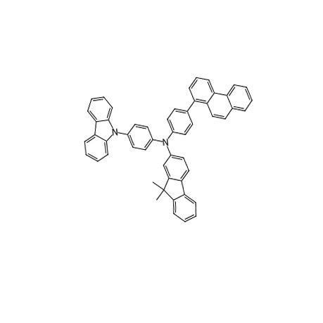 CC1(C)c2ccccc2-c2ccc(N(c3ccc(-c4cccc5c4ccc4ccccc45)cc3)c3ccc(-n4c5ccccc5c5ccccc54)cc3)cc21